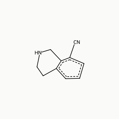 N#Cc1cccc2c1CNCC2